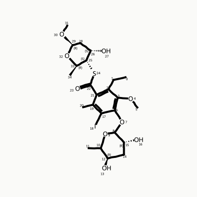 CCc1c(OC)c(OC2OC(C)[C@H](O)C[C@H]2O)c(I)c(C)c1C(=O)S[C@H]1[C@@H](O)C[C@H](OC)O[C@@H]1C